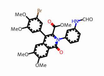 COC(=O)c1c(-c2cc(Br)c(OC)c(OC)c2)c2cc(OC)c(OC)cc2c(=O)n1-c1cccc(NC=O)c1